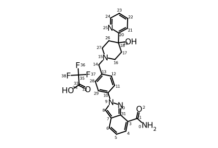 NC(=O)c1cccc2cn(-c3ccc(CN4CCC(O)(c5ccccn5)CC4)cc3)nc12.O=C(O)C(F)(F)F